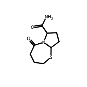 NC(=O)C1CCC2SCCCC(=O)N21